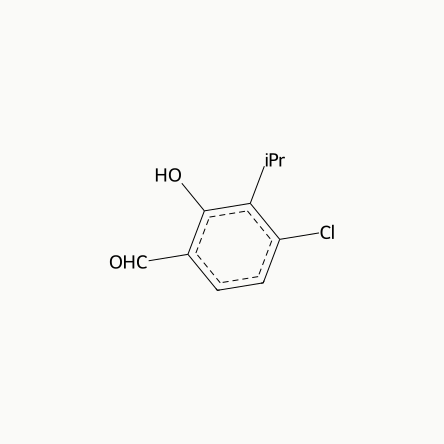 CC(C)c1c(Cl)ccc(C=O)c1O